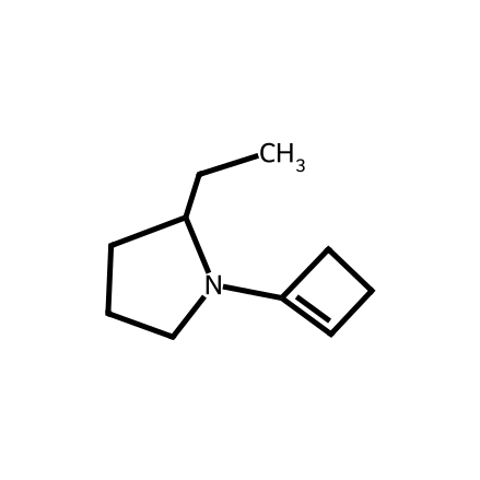 CCC1CCCN1C1=CCC1